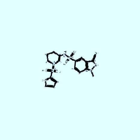 Cn1sc(=O)c2cc(S(=O)(=O)NC3CCCN(S(=O)(=O)c4cccs4)C3)ccc21